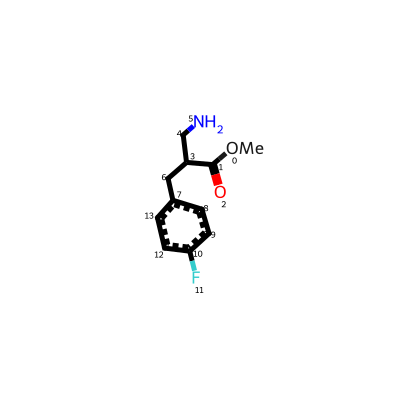 COC(=O)C(CN)Cc1ccc(F)cc1